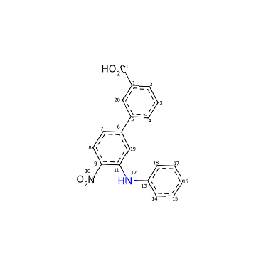 O=C(O)c1cccc(-c2ccc([N+](=O)[O-])c(Nc3ccccc3)c2)c1